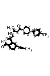 CC#Cc1ccc2c(=O)[nH]nc(CNC(C)CC(=O)N3CCN(c4ncc(C(F)(F)F)cn4)CC3)c2c1